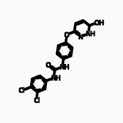 O=C(Nc1ccc(OC2=NNC(O)C=C2)cc1)Nc1ccc(Cl)c(Cl)c1